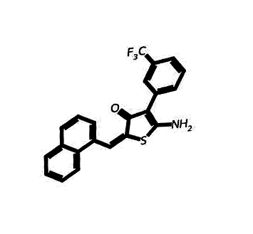 NC1=C(c2cccc(C(F)(F)F)c2)C(=O)C(=Cc2cccc3ccccc23)S1